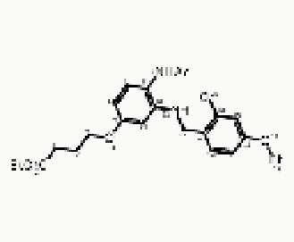 CCOC(=O)CCCOc1ccc(NC(C)=O)c(NCc2ccc(OCC)cc2Cl)c1